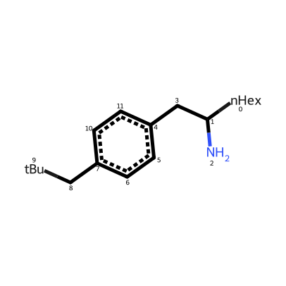 CCCCCCC(N)Cc1ccc(CC(C)(C)C)cc1